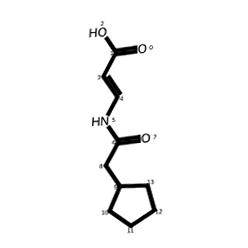 O=C(O)C=CNC(=O)CC1CCCC1